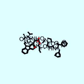 CC[C@H](C)[C@@H]([C@@H](CC(=O)N1CCC[C@H]1[C@H](OC)[C@@H](C)C(=O)N[C@@H](Cc1ccccc1)C(=O)N1OC2C=CC1CC2)OC)N(C)C(=O)[C@@H](NC(=O)[C@H](C(C)C)N(C)C(=O)OCC1c2ccccc2-c2ccccc21)C(C)C